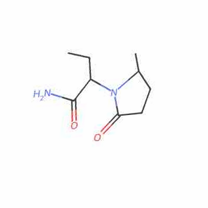 CCC(C(N)=O)N1C(=O)CCC1C